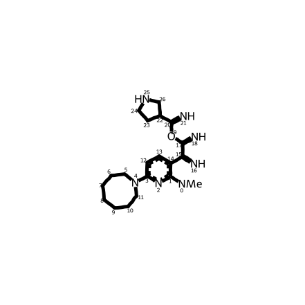 CNc1nc(N2CCCCCCC2)ccc1C(=N)C(=N)OC(=N)C1CCNC1